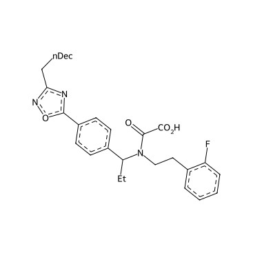 CCCCCCCCCCCc1noc(-c2ccc(C(CC)N(CCc3ccccc3F)C(=O)C(=O)O)cc2)n1